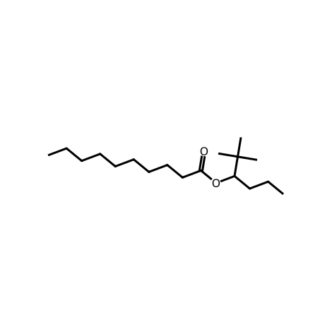 CCCCCCCCCC(=O)OC(CCC)C(C)(C)C